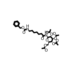 CC(=O)OC[C@H]1O[C@@H](NC(=O)CCCCCCNC(=O)OCc2ccccc2)[C@H](OC(C)=O)[C@@H](OC(C)=O)[C@@H]1OC(C)=O